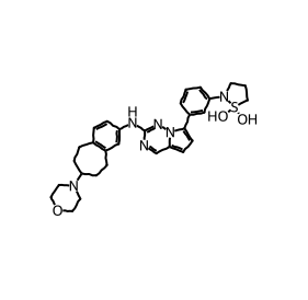 OS1(O)CCCN1c1cccc(-c2ccc3cnc(Nc4ccc5c(c4)CCC(N4CCOCC4)CC5)nn23)c1